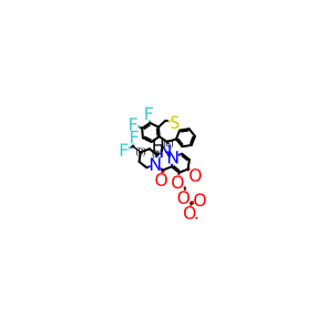 COC(=O)OCOc1c2n(ccc1=O)N([C@@H]1c3ccccc3SCc3c1ccc(F)c3F)[C@@H]1C[C@H](C(F)F)CCN1C2=O